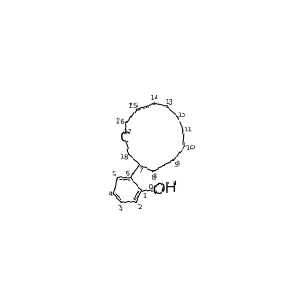 Oc1ccccc1C1CCCCCCCCCCC1